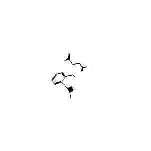 O=C(O)CCC(=O)O.O=C(O)c1ccccc1CO